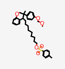 COCOc1ccc(C2(C)COc3ccccc3C2CCCCCCCCCOS(=O)(=O)c2ccc(C)cc2)cc1